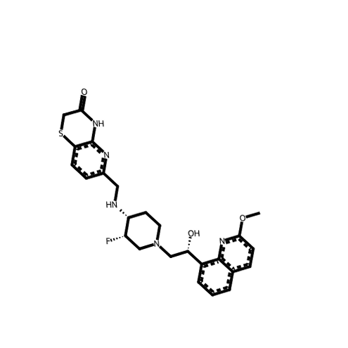 COc1ccc2cccc([C@@H](O)CN3CC[C@@H](NCc4ccc5c(n4)NC(=O)CS5)[C@@H](F)C3)c2n1